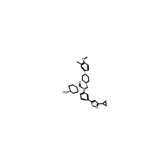 COc1ccc([C@H]2CC[C@H](CN(c3cccc(-c4cc(C5CC5)ns4)c3)C(=O)[C@H]3CC[C@H](O)CC3)CC2)cc1C